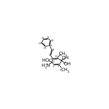 CC1=CC(N)(O)C(/C=C/c2ccccc2)=C(C)C1(O)O